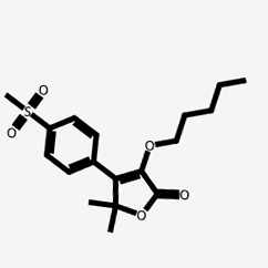 CCCCCOC1=C(c2ccc(S(C)(=O)=O)cc2)C(C)(C)OC1=O